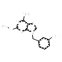 CCCCOc1nc(N)c2ncn(Cc3cccc(C=O)c3)c2n1